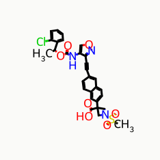 CC(OC(=O)Nc1conc1C#Cc1ccc2cc(C3(C(=O)O)CN(S(C)(=O)=O)C3)ccc2c1)c1ccccc1Cl